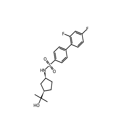 CC(C)(O)[C@@H]1CC[C@H](NS(=O)(=O)c2ccc(-c3ccc(F)cc3F)cc2)C1